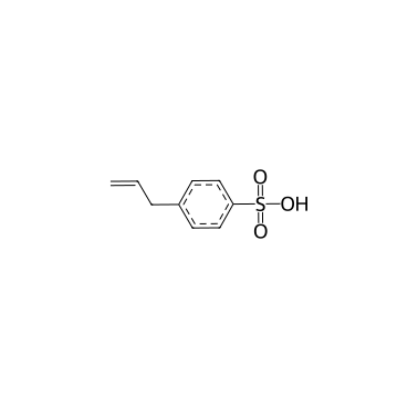 C=CCc1ccc(S(=O)(=O)O)cc1